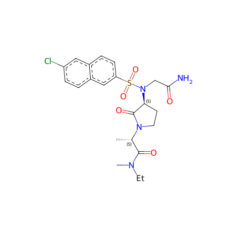 CCN(C)C(=O)[C@H](C)N1CC[C@H](N(CC(N)=O)S(=O)(=O)c2ccc3cc(Cl)ccc3c2)C1=O